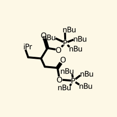 CCCCP(CCCC)(CCCC)(CCCC)OC(=O)CC(CC(C)C)C(=O)OP(CCCC)(CCCC)(CCCC)CCCC